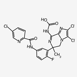 CC1(c2cc(NC(=O)c3ccc(Cl)cn3)ccc2F)Cn2c(nc(Cl)c2Cl)C(NC(=O)O)=N1